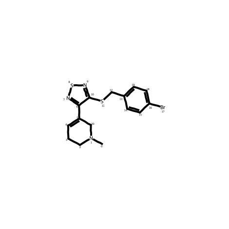 CN1CCC=C(c2nsnc2SCc2ccc(Br)cc2)C1